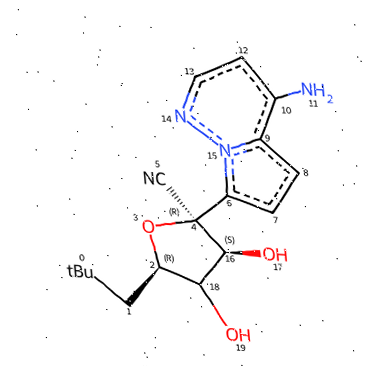 CC(C)(C)C[C@H]1O[C@@](C#N)(c2ccc3c(N)ccnn23)[C@@H](O)C1O